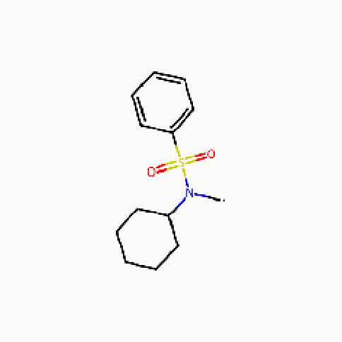 [CH2]N(C1CCCCC1)S(=O)(=O)c1ccccc1